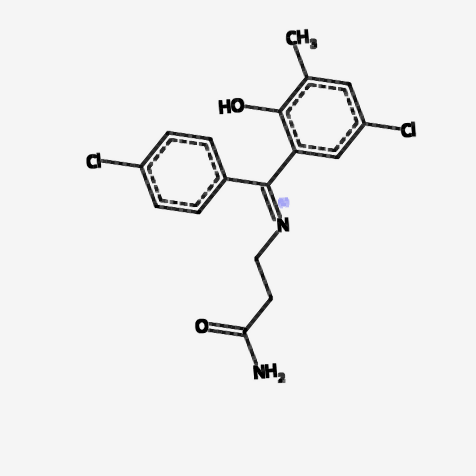 Cc1cc(Cl)cc(/C(=N/CCC(N)=O)c2ccc(Cl)cc2)c1O